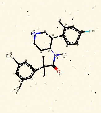 CCN(C(=O)C(C)(C)c1cc(C(F)(F)F)cc(C(F)(F)F)c1)[C@@H]1CCNC[C@H]1c1ccc(F)cc1C